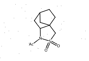 CC(=O)N1C2CC3CCC2(C3)CS1(=O)=O